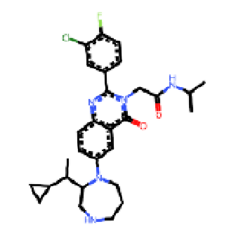 CC(C)NC(=O)Cn1c(-c2ccc(F)c(Cl)c2)nc2ccc(N3CCCNCC3C(C)C3CC3)cc2c1=O